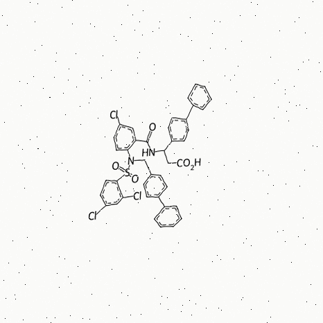 O=C(O)CC(NC(=O)c1cc(Cl)ccc1N(Cc1ccc(-c2ccccc2)cc1)S(=O)(=O)c1ccc(Cl)cc1Cl)c1ccc(-c2ccccc2)cc1